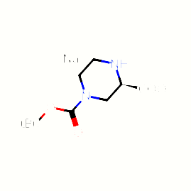 CC(C)(C)OC(=O)N1CCN[C@@H](C(=O)[O-])C1.[Na+]